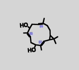 C/C1=C\CC(O)/C(C)=C/CC(O)/C(C)=C/C2C(CC1)C2(C)C